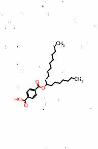 CCCCCCCCCCC(CCCCCCC)OC(=O)c1ccc(C(=O)O)cc1